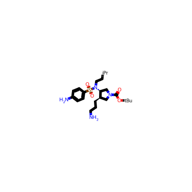 CC(C)CCN([C@@H]1CN(C(=O)OC(C)(C)C)C[C@H]1CCCN)S(=O)(=O)c1ccc(N)cc1